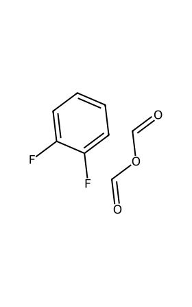 Fc1ccccc1F.O=COC=O